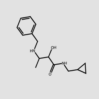 CC(NCc1ccccc1)C(O)C(=O)NCC1CC1